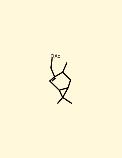 CC(=O)OCC1=CC2C(CC1C)C2(C)C